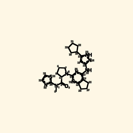 CN(C(=O)[C@H]1CCCN1c1nc2c(c(Nc3cc(C4CCCC4)[nH]n3)n1)CCC2)c1nccs1